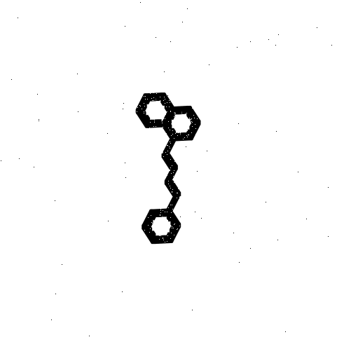 C(C=Cc1cccc2ccccc12)=Cc1ccccc1